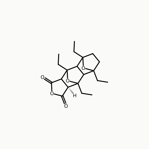 CCC12CCC(CC)(O1)C1C2C2(CC)OC1(CC)[C@H]1C(=O)OC(=O)C12